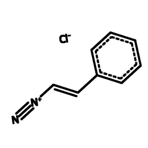 N#[N+]C=Cc1ccccc1.[Cl-]